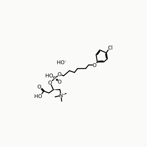 C[N+](C)(C)C[C@@H](CC(=O)O)OP(=O)(O)OCCCCCCOc1ccc(Cl)cc1.[OH-]